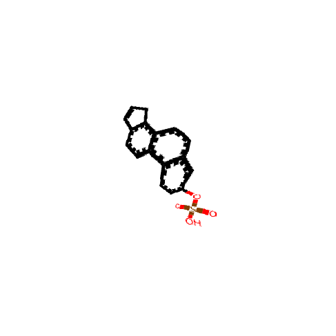 O=S(=O)(O)Oc1ccc2c(ccc3c4c(ccc32)C=CC4)c1